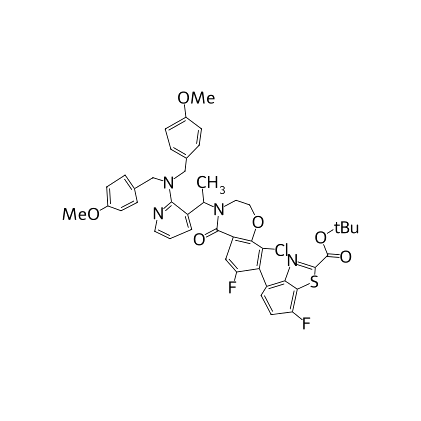 COc1ccc(CN(Cc2ccc(OC)cc2)c2ncccc2C(C)N2CCOc3c(cc(F)c(-c4ccc(F)c5sc(C(=O)OC(C)(C)C)nc45)c3Cl)C2=O)cc1